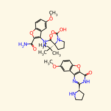 COc1ccc2oc(C(N)=O)c(NC(=O)[C@]3(C(C)(C)C)CCCN3C(=O)O)c2c1.COc1ccc2oc3c(=O)[nH]c([C@H]4CCCN4)nc3c2c1